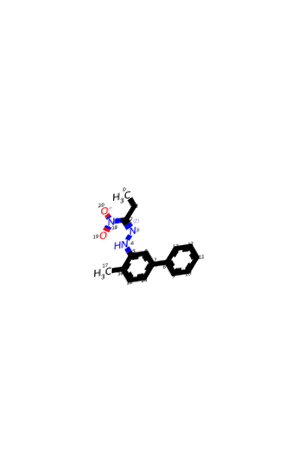 CC/C(=N/Nc1cc(-c2ccccc2)ccc1C)[N+](=O)[O-]